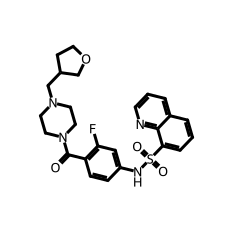 O=C(c1ccc(NS(=O)(=O)c2cccc3cccnc23)cc1F)N1CCN(CC2CCOC2)CC1